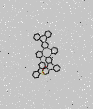 c1ccc2c(c1)-c1cc3c4ccccc4c4ccccc4c3cc1-c1cccc(-c3ccc4sc5ccccc5c4c3)c1-c1cc3c4ccccc4c4ccccc4c3cc1-2